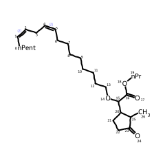 CCCCC/C=C\C/C=C\CCCCCCCCOC(C(=O)OCCC)C1CCC(=O)C1C